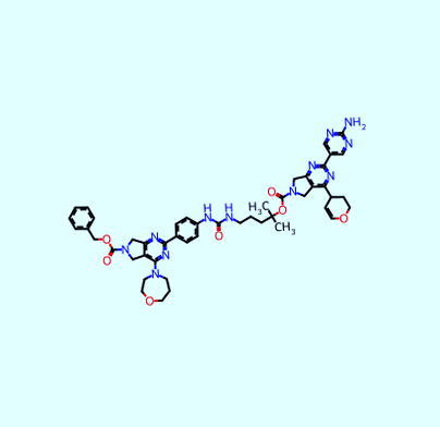 CC(C)(CCCNC(=O)Nc1ccc(-c2nc3c(c(N4CCCOCC4)n2)CN(C(=O)OCc2ccccc2)C3)cc1)OC(=O)N1Cc2nc(-c3cnc(N)nc3)nc(C3C=COCC3)c2C1